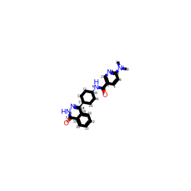 CN(C)c1ccc(C(=O)N[C@H]2CC[C@H](c3n[nH]c(=O)c4ccccc43)CC2)cn1